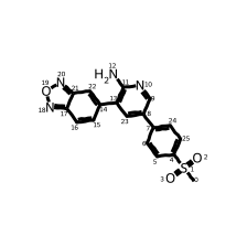 CS(=O)(=O)c1ccc(-c2cnc(N)c(-c3ccc4nonc4c3)c2)cc1